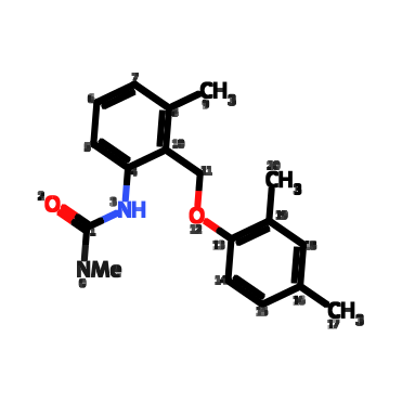 CNC(=O)Nc1cccc(C)c1COc1ccc(C)cc1C